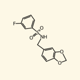 O=S(=O)(NCc1ccc2c(c1)OCO2)c1cccc(F)c1